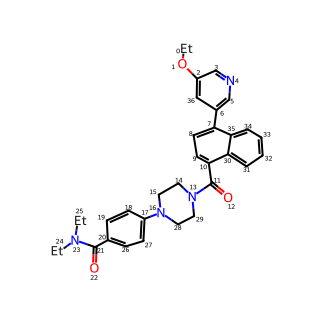 CCOc1cncc(-c2ccc(C(=O)N3CCN(c4ccc(C(=O)N(CC)CC)cc4)CC3)c3ccccc23)c1